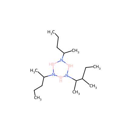 CCCC(C)N1BN(C(C)CCC)BN(C(C)C(C)CC)B1